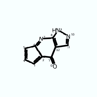 O=C1C2=CC=CC2=Nc2[nH]ncc21